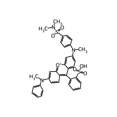 CN(c1ccccc1)c1ccc2c(-c3ccccc3S(=O)(=O)O)c3ccc(N(C)c4ccc(S(=O)(=O)N(C)C)cc4)cc3[o+]c2c1